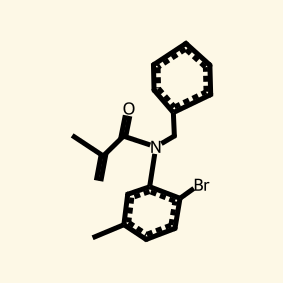 C=C(C)C(=O)N(Cc1ccccc1)c1cc(C)ccc1Br